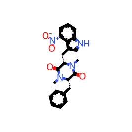 CN1C(=O)[C@H](Cc2c[nH]c3cccc([N+](=O)[O-])c23)N(C)C(=O)[C@@H]1Cc1ccccc1